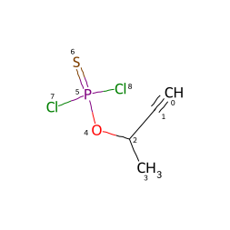 C#CC(C)OP(=S)(Cl)Cl